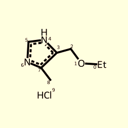 CCOCc1[nH]cnc1C.Cl